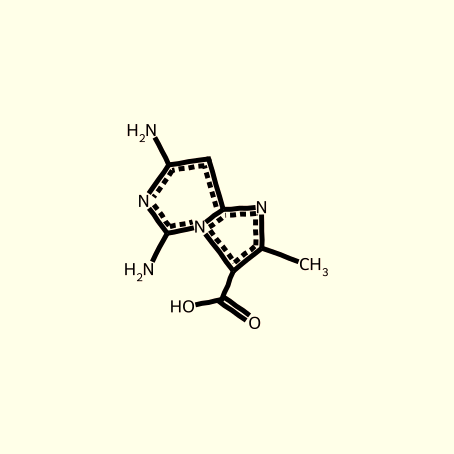 Cc1nc2cc(N)nc(N)n2c1C(=O)O